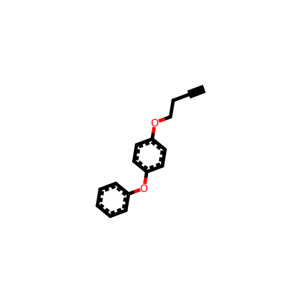 C#CCCOc1ccc(Oc2ccccc2)cc1